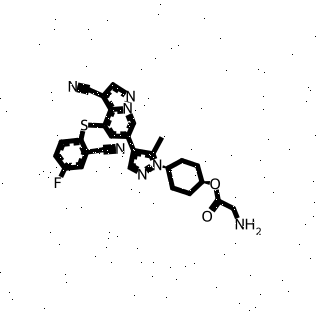 Cc1c(-c2cc(Sc3ccc(F)cc3C#N)c3c(C#N)cnn3c2)cnn1[C@H]1CC[C@H](OC(=O)CN)CC1